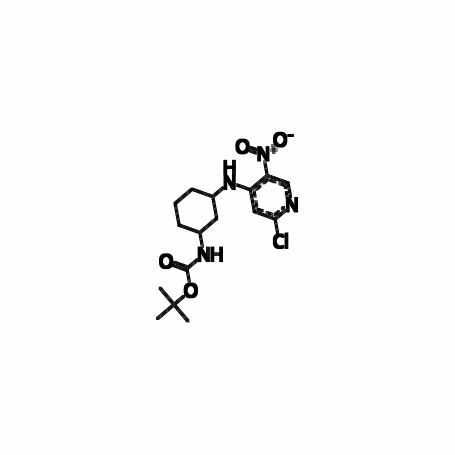 CC(C)(C)OC(=O)NC1CCCC(Nc2cc(Cl)ncc2[N+](=O)[O-])C1